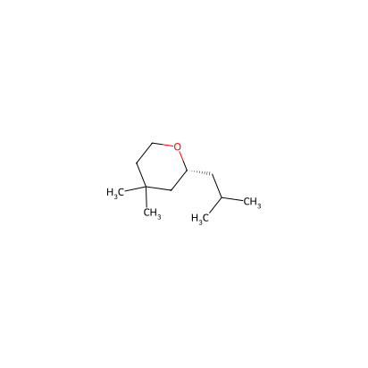 CC(C)C[C@@H]1CC(C)(C)CCO1